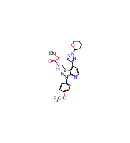 CC(C)(C)OC(=O)NCc1nn(-c2ccc(OC(F)(F)F)cc2)c2nccc(-c3cnn(C4CCCCO4)n3)c12